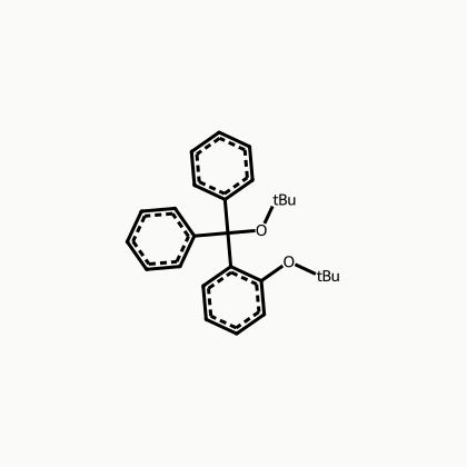 CC(C)(C)Oc1ccccc1C(OC(C)(C)C)(c1ccccc1)c1ccccc1